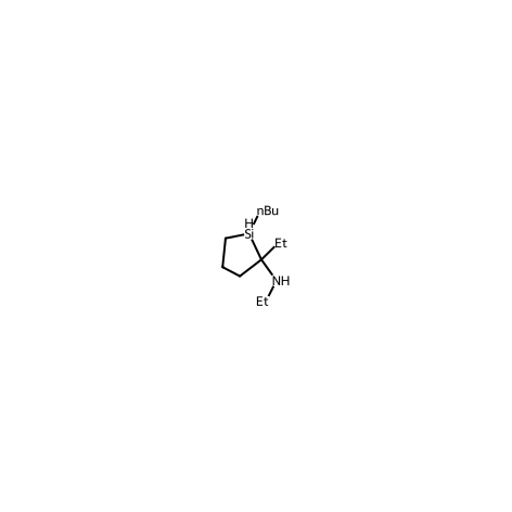 CCCC[SiH]1CCCC1(CC)NCC